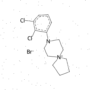 Clc1cccc(N2CC[N+]3(CCCC3)CC2)c1Cl.[Br-]